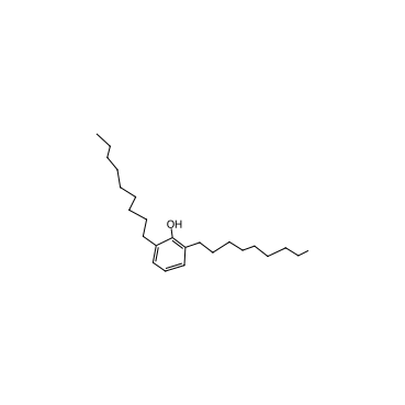 CCCCCCCCCc1cccc(CCCCCCCCC)c1O